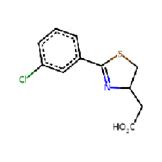 O=C(O)CC1CSC(c2cccc(Cl)c2)=N1